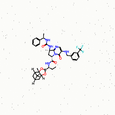 CC[C@H](NC(=O)[C@@H]1C[C@@](C)(NC(=O)N[C@H](C)c2ccccc2)c2ncc(NCc3cccc(C(F)(F)F)c3)c(=O)n21)B1O[C@@H]2C[C@@H]3C[C@@H](C3(C)C)[C@]2(C)O1